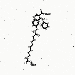 CNC(=O)c1cnc2ccc(CNC(=O)CCCCCCCCNC(=O)OC(C)(C)C)cc2c1Nc1ccccc1